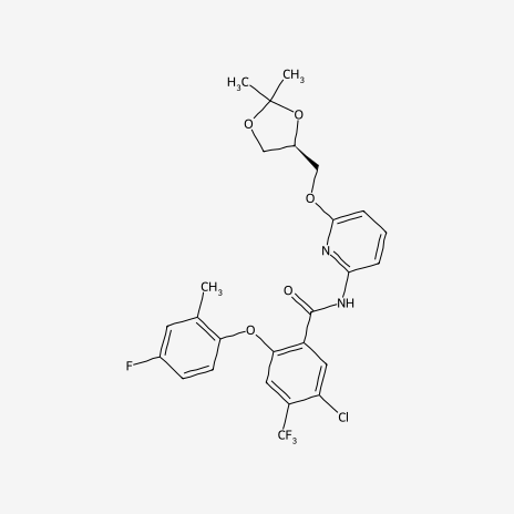 Cc1cc(F)ccc1Oc1cc(C(F)(F)F)c(Cl)cc1C(=O)Nc1cccc(OC[C@H]2COC(C)(C)O2)n1